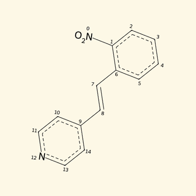 O=[N+]([O-])c1ccccc1C=Cc1ccncc1